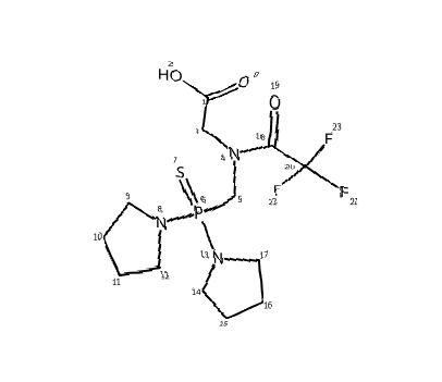 O=C(O)CN(CP(=S)(N1CCCC1)N1CCCC1)C(=O)C(F)(F)F